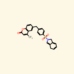 O=c1cc(C(F)(F)F)c2cc(Cc3ccc(S(=O)(=O)N4C=C5CC=CC=C5C4)cc3)ccc2o1